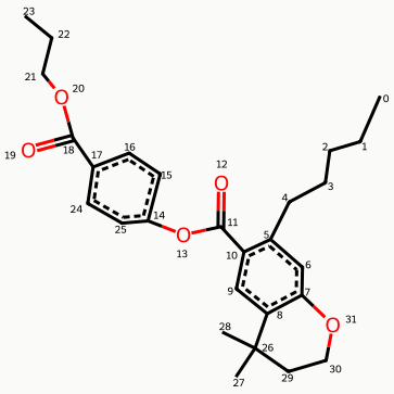 CCCCCc1cc2c(cc1C(=O)Oc1ccc(C(=O)OCCC)cc1)C(C)(C)CCO2